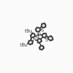 CC(C)(C)c1ccc2c(c1)c1cc(C(C)(C)C)cc3c1n2-c1cc(-c2ccccc2)cc2c1B3N(c1cccc3c1sc1ccccc13)c1ccc3c(sc4ccccc43)c1-2